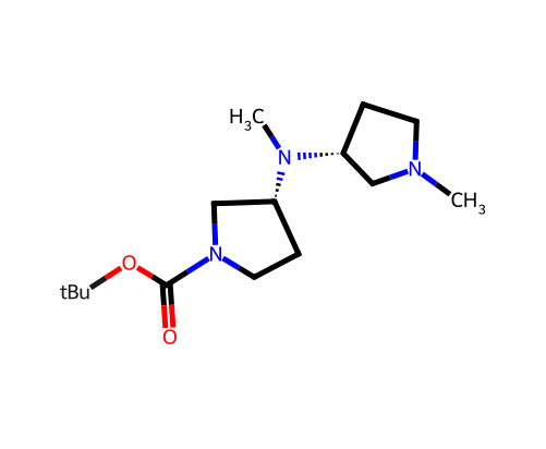 CN1CC[C@@H](N(C)[C@@H]2CCN(C(=O)OC(C)(C)C)C2)C1